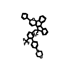 CC1(Cc2ccc(C(F)(F)F)c(-c3ccc(N4CCOCC4)cc3)c2)c2ccccc2-c2c1c1c(c3ccccc23)OC(c2ccccc2)C=C1